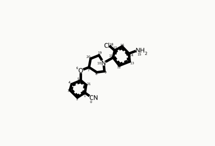 N#Cc1cccc(OC2CCN(c3ccc(N)cc3Cl)CC2)c1